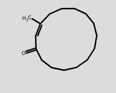 CC1=CC(=O)CCCCCCCCCCCC1